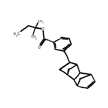 CCC(C)(C)OC(=O)c1cccc(C2CC3CC2C2C4C=CC(C4)C32)c1